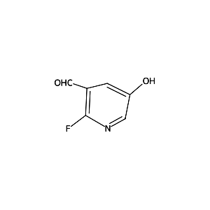 O=Cc1cc(O)cnc1F